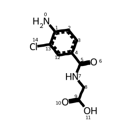 Nc1ccc(C(=O)NCC(=O)O)cc1Cl